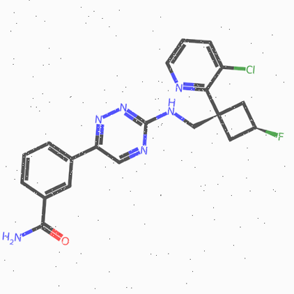 NC(=O)c1cccc(-c2cnc(NC[C@]3(c4ncccc4Cl)C[C@H](F)C3)nn2)c1